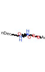 CCCCCCCCCCCCCCCC(=O)NC1CC2(C1)CC(NC(=O)CCOCCOCCC(C)=O)C2